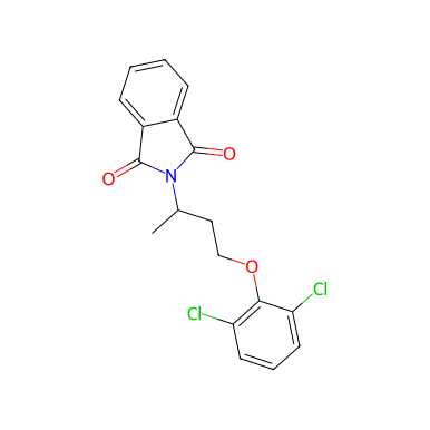 CC(CCOc1c(Cl)cccc1Cl)N1C(=O)c2ccccc2C1=O